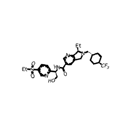 CC[C@@H]1c2ncc(C(=O)N[C@@H](CO)c3ccc(S(=O)(=O)CC)cn3)cc2CN1C[C@H]1CC[C@H](C(F)(F)F)CC1